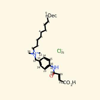 CCCCCCCCCCCCCCCCCC[N+](C)(C)Cc1ccc(NC(=O)C=CC(=O)O)cc1.[Cl-]